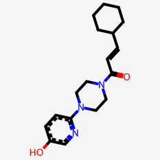 O=C(/C=C/C1CCCCC1)N1CCN(c2ccc(O)cn2)CC1